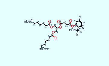 CCCCCCCCCCCCCCCC(=O)OCC(COC(=O)CCCCCCCCCCCCCCC)OC(=O)CCC(=O)Oc1cc(C)cc(C)c1C(C)(C)CCC